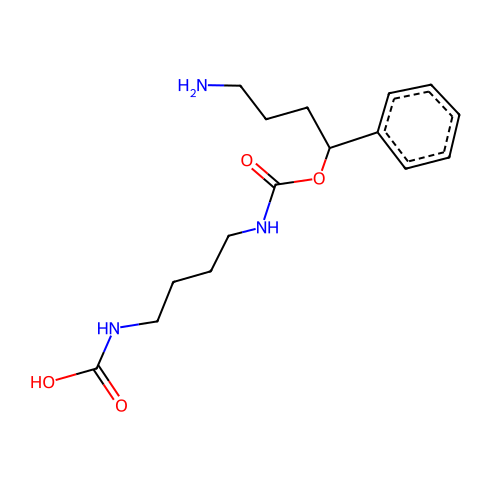 NCCCC(OC(=O)NCCCCNC(=O)O)c1ccccc1